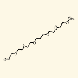 CC(C)(C)COCCOCCOCCCOCCOCCOC(C)(C)C